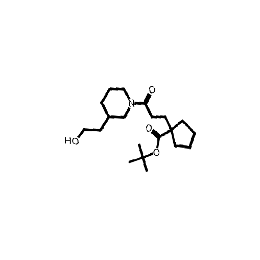 CC(C)(C)OC(=O)C1(CCC(=O)N2CCCC(CCO)C2)CCCC1